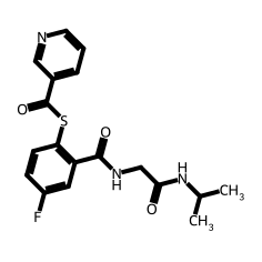 CC(C)NC(=O)CNC(=O)c1cc(F)ccc1SC(=O)c1cccnc1